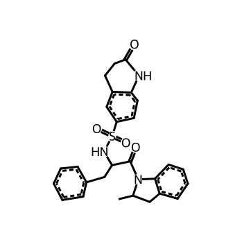 CC1Cc2ccccc2N1C(=O)C(Cc1ccccc1)NS(=O)(=O)c1ccc2c(c1)CCC(=O)N2